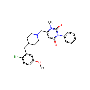 CC(C)Oc1ccc(Br)c(CC2CCN(Cc3cc(=O)n(-c4ccccc4)c(=O)n3C)CC2)c1